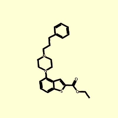 CCOC(=O)c1cc2c(N3CCN(CCCc4ccccc4)CC3)cccc2s1